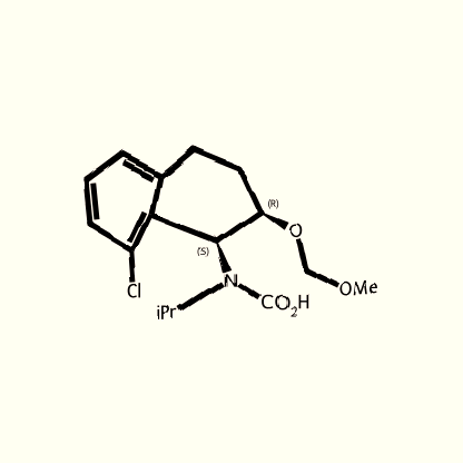 COCO[C@@H]1CCc2cccc(Cl)c2[C@@H]1N(C(=O)O)C(C)C